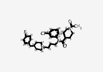 CC(=O)N1CCC(C(=O)N(CCCN2CCC(Cc3ccc(F)cc3)CC2)c2cccc(Cl)c2)CC1